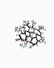 C=C(C)c1c(F)cc(C)c2c1-c1c3c4c(c5c1=CCC(F)=CC=5C)C(C)CC(C)=C4C(=C)C1C(N)=CC(CC)=C2C31